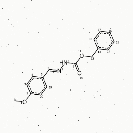 COc1ccc(/C=N/NC(=O)OCc2ccccc2)cc1